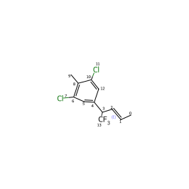 C/C=C/C(c1cc(Cl)c(C)c(Cl)c1)C(F)(F)F